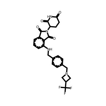 O=C1CCC(N2C(=O)c3cccc(NCc4ccc(CN5CC(C(F)(F)F)C5)cc4)c3C2=O)C(=O)N1